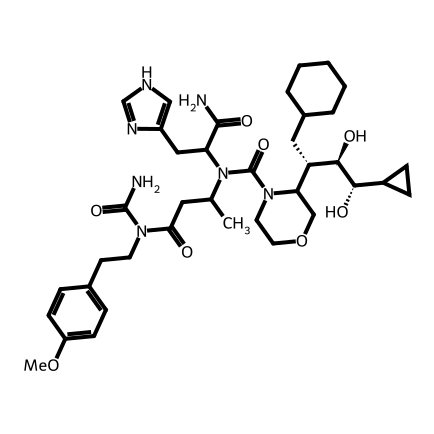 COc1ccc(CCN(C(N)=O)C(=O)CC(C)N(C(=O)N2CCOCC2[C@H](CC2CCCCC2)[C@@H](O)[C@@H](O)C2CC2)C(Cc2c[nH]cn2)C(N)=O)cc1